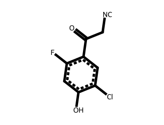 [C-]#[N+]CC(=O)c1cc(Cl)c(O)cc1F